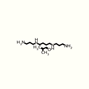 C=C(C)C=O.NCCCNCCCCNCCCN